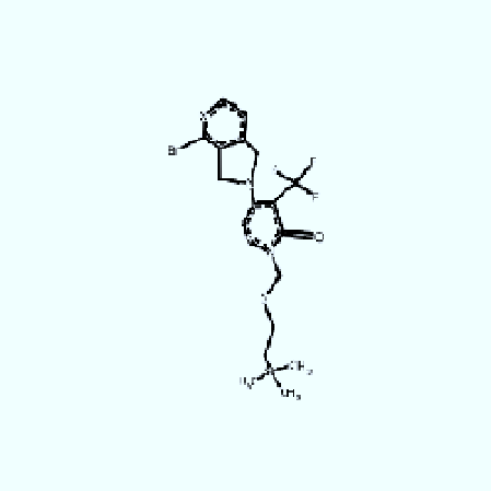 C[Si](C)(C)CCOCn1ncc(N2Cc3ccnc(Br)c3C2)c(C(F)(F)F)c1=O